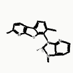 Cc1ccc2c(n1)oc1c(N3c4ncccc4N(C)[C@@H]3C)c(C)ccc12